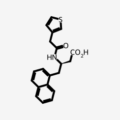 O=C(O)C[C@@H](Cc1cccc2ccccc12)NC(=O)Cc1ccsc1